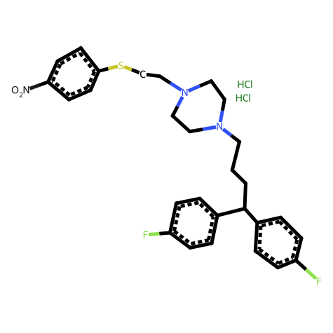 Cl.Cl.O=[N+]([O-])c1ccc(SCCN2CCN(CCCC(c3ccc(F)cc3)c3ccc(F)cc3)CC2)cc1